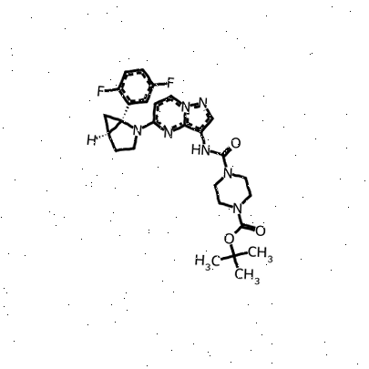 CC(C)(C)OC(=O)N1CCN(C(=O)Nc2cnn3ccc(N4CC[C@H]5C[C@]54c4cc(F)ccc4F)nc23)CC1